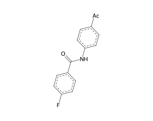 CC(=O)c1ccc(NC(=O)c2ccc(F)cc2)cc1